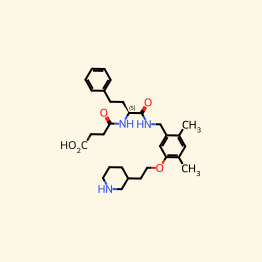 Cc1cc(C)c(OCCC2CCCNC2)cc1CNC(=O)[C@H](CCc1ccccc1)NC(=O)CCC(=O)O